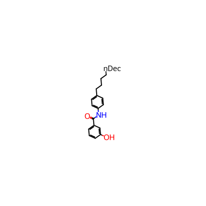 CCCCCCCCCCCCCCc1ccc(NC(=O)c2cccc(O)c2)cc1